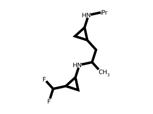 CC(C)NC1CC1CC(C)NC1CC1C(F)F